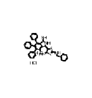 Cc1c2c(c(-c3ccccc3)c(-c3ccccc3)c1-c1ccccc1)C(=N)NC2=C1SC(NCc2ccccc2)=NC1=N.Cl